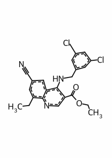 CCOC(=O)c1cnc2c(CC)cc(C#N)cc2c1NCc1cc(Cl)cc(Cl)c1